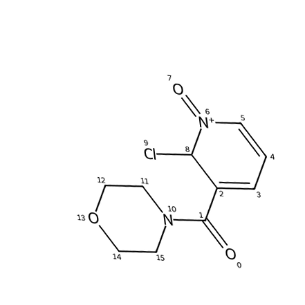 O=C(C1=CC=C[N+](=O)C1Cl)N1CCOCC1